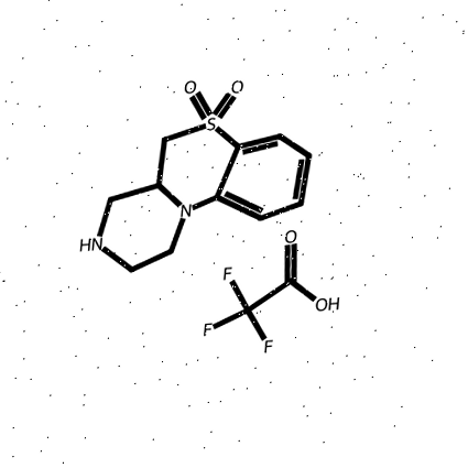 O=C(O)C(F)(F)F.O=S1(=O)CC2CNCCN2c2ccccc21